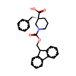 O=C(OCC1c2ccccc2-c2ccccc21)N1CCC[C@](Cc2ccccc2)(C(=O)O)C1